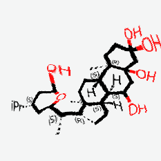 CC(C)[C@@H]1CC(O)OC([C@@H](C)[C@H]2CC[C@H]3[C@@H]4C(O)CC5(O)CC(O)(O)CC[C@]5(C)[C@H]4CC[C@]23C)C1